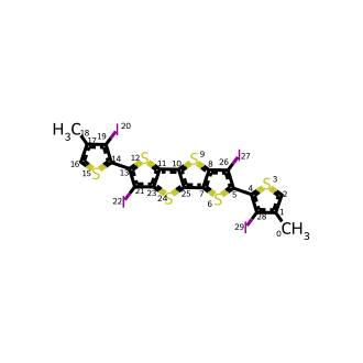 Cc1csc(-c2sc3c(sc4c5sc(-c6scc(C)c6I)c(I)c5sc34)c2I)c1I